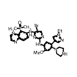 CCn1cc(-c2cc(Nc3ncc(Br)c(Nc4ccc5nccnc5c4P(C)(C)=O)n3)c(OC)cc2N2CCNCC2)cn1